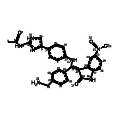 CC(=O)Nc1nc(-c2ccc(NC(=C3C(=O)Nc4ccc([N+](=O)[O-])cc43)c3ccc(CN)cc3)cc2)c[nH]1